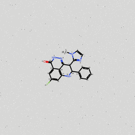 Cn1ccnc1C1c2n[nH]c(=O)c3cc(F)cc(c23)NC1c1ccccc1